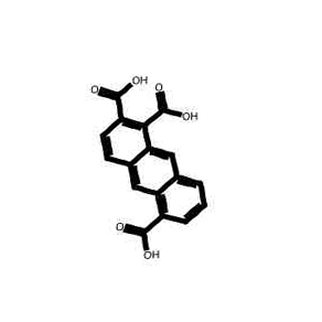 O=C(O)c1ccc2cc3c(C(=O)O)cccc3cc2c1C(=O)O